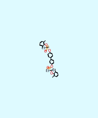 CCC(C)(Oc1c(C)cccc1C)[PH](=O)Oc1ccc(-c2ccc(O[PH](=O)C(CC)(CC)Oc3c(C)cccc3C)cc2)cc1